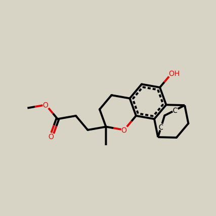 COC(=O)CCC1(C)CCc2cc(O)c3c(c2O1)C1CCCC3CC1